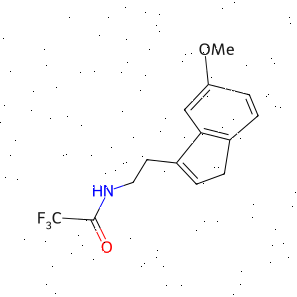 COc1ccc2c(c1)C(CCNC(=O)C(F)(F)F)=CC2